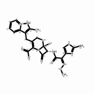 CO/N=C(\C(=O)N[C@@H]1C(=O)N2C(C(=O)[O-])=C(Cc3c(C)[nH][n+]4ccccc34)CS[C@H]12)c1csc(N)n1